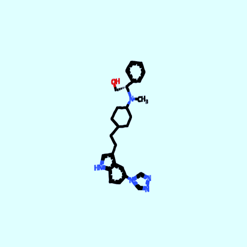 CN(C1CCC(CCc2c[nH]c3ccc(-n4cnnc4)cc23)CC1)[C@H](CO)c1ccccc1